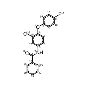 O=C(Nc1ccc(Oc2ccc(F)cc2)c(Cl)c1)c1ccccn1